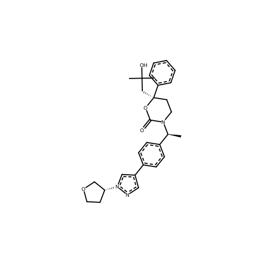 C[C@@H](c1ccc(-c2cnn([C@@H]3CCOC3)c2)cc1)N1CC[C@](CC(C)(C)O)(c2ccccc2)OC1=O